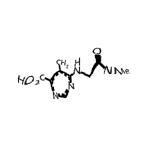 CNC(=O)CNc1ncnc(C(=O)O)c1C